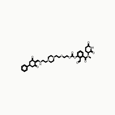 CN(C(=O)c1cccc(OC(=O)OCCOCCN2CCN(CCNC=C3C(=O)CC(c4ccccc4)CC3=O)CC2)c1C=O)C1CCC(=O)NC1=O